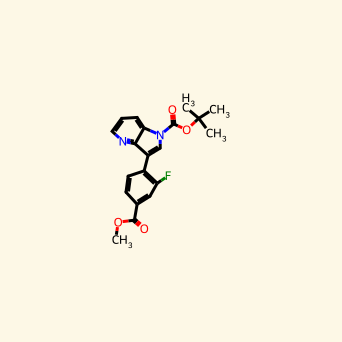 COC(=O)c1ccc(-c2cn(C(=O)OC(C)(C)C)c3cccnc23)c(F)c1